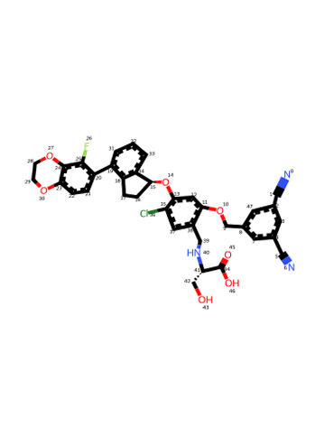 N#Cc1cc(C#N)cc(COc2cc(O[C@H]3CCc4c(-c5ccc6c(c5F)OCCO6)cccc43)c(Cl)cc2CN[C@@H](CO)C(=O)O)c1